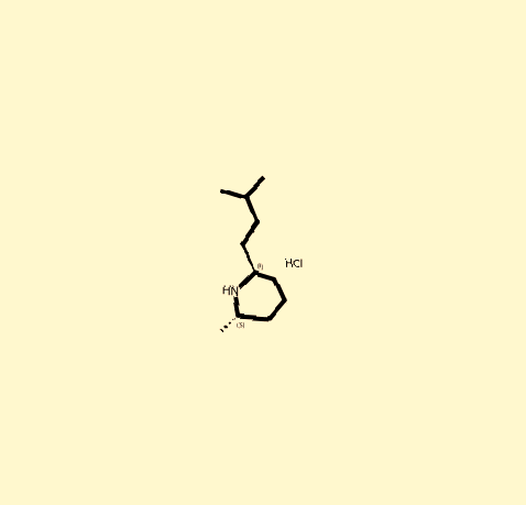 CC(C)CC[C@H]1CCC[C@H](C)N1.Cl